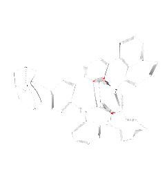 c1ccc(-c2cccc3cccc(-c4ccc(N(c5ccc(C67CC8CC(CC(C8)C6)C7)cc5)c5ccccc5-n5c6ccccc6c6ccccc65)cc4)c23)cc1